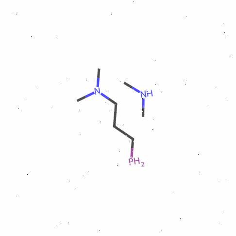 CN(C)CCCP.CNC